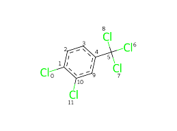 Clc1ccc(C(Cl)(Cl)Cl)cc1Cl